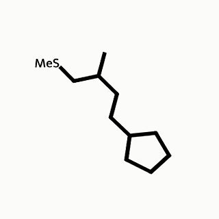 CSCC(C)CCC1CCCC1